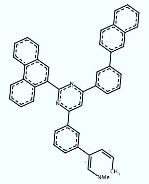 C/C=C\C(=C/NC)c1cccc(-c2cc(-c3cccc(-c4ccc5ccccc5c4)c3)nc(-c3cc4ccccc4c4ccccc34)n2)c1